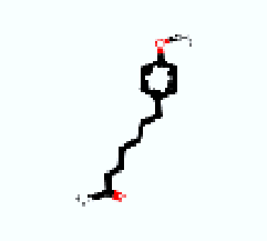 COc1ccc(CCCCCCC(C)=O)cc1